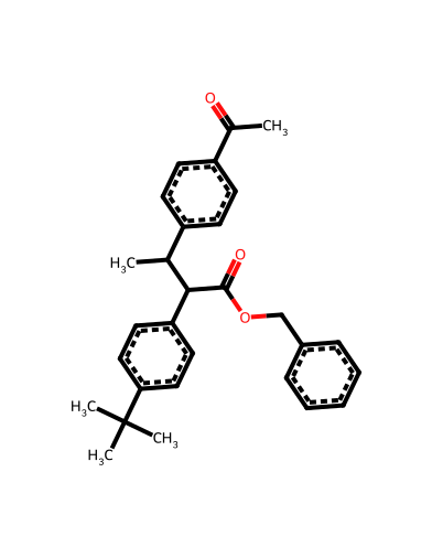 CC(=O)c1ccc(C(C)C(C(=O)OCc2ccccc2)c2ccc(C(C)(C)C)cc2)cc1